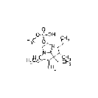 C=CCC(C)C(C=C)(C1=NCCN1C)C(C)CC=C.COS(=O)(=O)O